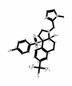 Cn1ccnc1CN1CC[C@@]2(S(=O)(=O)c3ccc(F)cc3)c3ccc(C(F)(C(F)(F)F)C(F)(F)F)cc3CC[C@@H]12